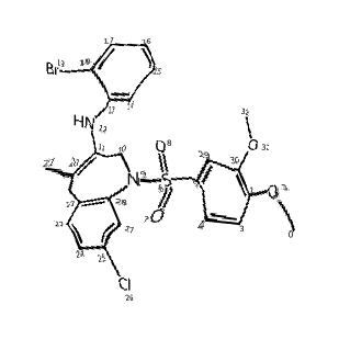 COc1ccc(S(=O)(=O)N2CC(Nc3ccccc3Br)=C(C)c3ccc(Cl)cc32)cc1OC